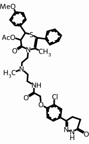 COc1ccc(C2SC(c3ccccc3)=C(C)N(CCN(C)CCNC(=O)COc3ccc(C4=NNC(=O)CC4)cc3Cl)C(=O)C2OC(C)=O)cc1